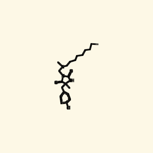 CCCCCCCCCN(C)CN1C(=O)NC(C)(Cc2ccc(Cl)cc2)C1=O